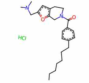 CCCCCCCc1ccc(C(=O)N2CCc3cc(CN(C)C)oc3C2)cc1.Cl